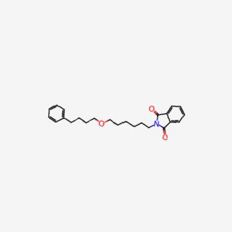 O=C1c2ccccc2C(=O)N1CCCCCCOCCCCc1ccccc1